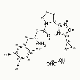 NC(CC(=O)N1CCCC1c1noc(C2CC2)n1)Cc1cc(F)c(F)cc1F.O=CO